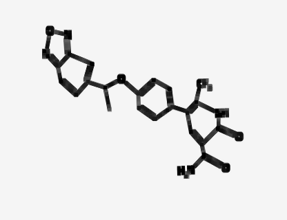 CC(Oc1ccc(-c2cc(C(N)=O)c(=O)[nH]c2C(F)(F)F)cc1)c1ccc2nonc2c1